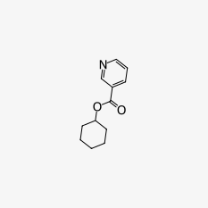 O=C(OC1CCCCC1)c1cccnc1